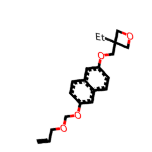 C=CCOCOc1ccc2cc(OCC3(CC)COC3)ccc2c1